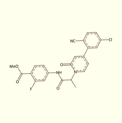 COC(=O)c1ccc(NC(=O)C(C)n2ccc(-c3cc(Cl)ccc3C#N)cc2=O)cc1F